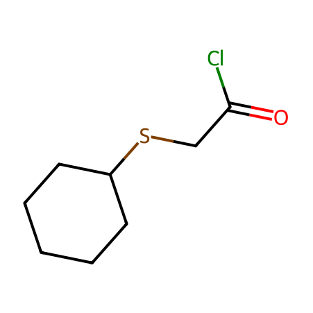 O=C(Cl)CSC1CCCCC1